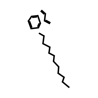 C=CC=C.CCCCCCCCCCCC.c1ccccc1